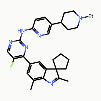 CCN1CCC(c2ccc(Nc3ncc(F)c(-c4cc(C)c5c(c4)C4(CCCC4)C(C)=N5)n3)nc2)CC1